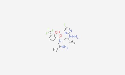 C=C(N)CN(CCC(C)N(N)c1ncc(F)cn1)C(=O)c1cccc(C(F)(F)F)c1O